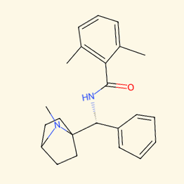 Cc1cccc(C)c1C(=O)N[C@H](c1ccccc1)C12CCC(CC1)N2C